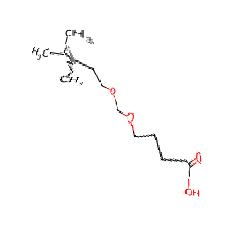 C[Si](C)(C)CCOCOCCCC(=O)O